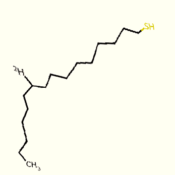 [2H]C(CCCCCC)CCCCCCCCCS